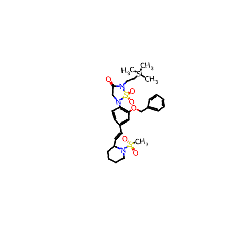 C[Si](C)(C)CCN1C(=O)CN(c2ccc(C=CC3CCCCN3S(C)(=O)=O)cc2OCc2ccccc2)S1(=O)=O